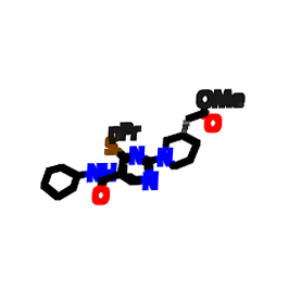 CCCSc1nc(N2CCC[C@@H](CC(=O)OC)C2)ncc1C(=O)NC1CCCCC1